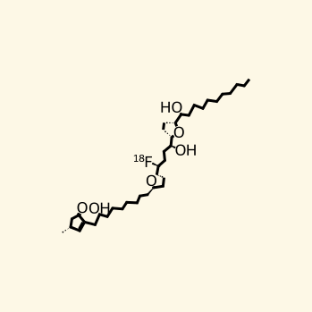 CCCCCCCCCC[C@H](O)[C@H]1CC[C@@H]([C@@H](O)CC[C@H]([18F])[C@@H]2CC[C@@H](CCCCCCC[C@@H](O)CC3=C[C@H](C)CC3=O)O2)O1